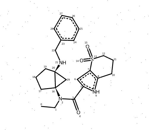 CCN(C(=O)c1cc2c([nH]1)CCCS2(=O)=O)[C@@]12CCC[C@]1(NCc1ccccc1)C2